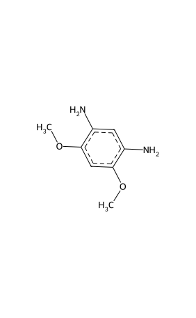 COc1cc(OC)c(N)cc1N